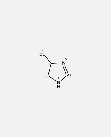 CCC1[CH]N[C]=N1